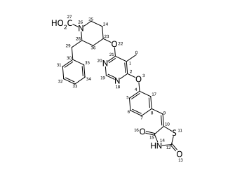 Cc1c(Oc2cccc(C=C3SC(=O)NC3=O)c2)ncnc1OC1CCN(C(=O)O)C(Cc2ccccc2)C1